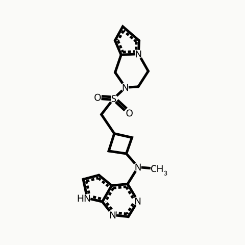 CN(c1ncnc2[nH]ccc12)C1CC(CS(=O)(=O)N2CCn3cccc3C2)C1